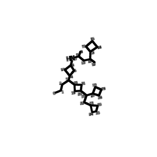 CCCC(C1CC(NC(C)CC(C)C2CCC2)C1)C1CC(C(CC2CCC2)C2CCC2)C1